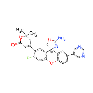 CC1(C)CC(c2cc3c(cc2F)Oc2ccc(-c4cncnc4)cc2[C@@]32COC(N)=N2)=CC(=O)O1